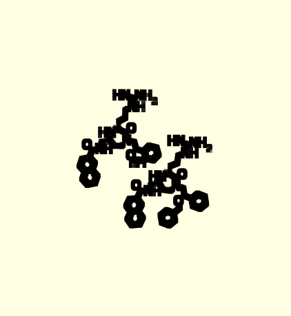 CCCOC(CN1CC[C@@H](CNC(=O)c2ccc3ccccc3c2)N[C@@H](CCCNC(=N)N)C1=O)c1ccccc1.N=C(N)NCCC[C@@H]1N[C@H](CNC(=O)c2ccc3ccccc3c2)CCN(CC(OCc2ccccc2)c2ccccc2)C1=O